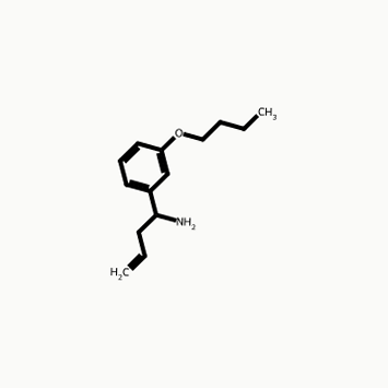 C=CCC(N)c1cccc(OCCCC)c1